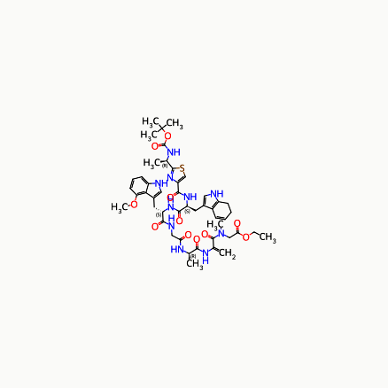 C=C(NC(=O)[C@@H](C)NC(=O)CNC(=O)[C@H](Cc1c[nH]c2cccc(OC)c12)NC(=O)[C@H](Cc1c[nH]c2c1C=CCC2)NC(=O)c1csc([C@@H](C)NC(=O)OC(C)(C)C)n1)C(=O)N(C)CC(=O)OCC